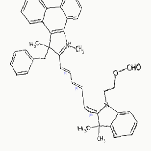 C[N+]1=C(/C=C/C=C/C=C2\N(CCOC=O)c3ccccc3C2(C)C)C(C)(Cc2ccccc2)c2c1c1ccccc1c1ccccc21